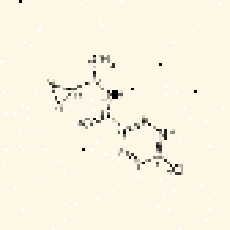 CC(NC(=O)c1ccc(Cl)nc1)C1CC1